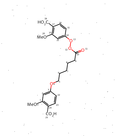 COc1cc(OCCCCCC(=O)OOc2ccc(C(=O)O)c(OC)c2)ccc1C(=O)O